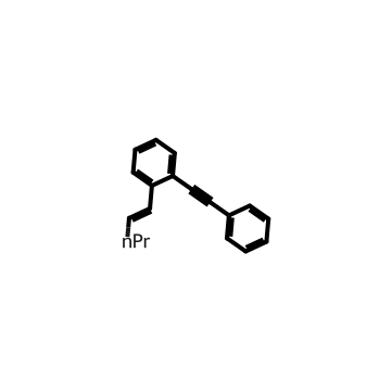 CCCC=Cc1ccccc1C#Cc1ccccc1